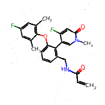 C=CC(=O)NCc1cccc(Oc2c(C)cc(F)cc2C)c1-c1cn(C)c(=O)cc1F